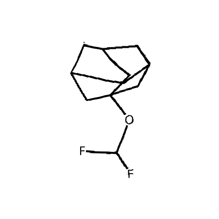 FC(F)OC12CC3[CH]C(CC(C3)C1)C2